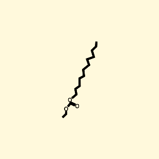 CCCCCCCCCCCCOC(=O)OCC